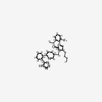 CCCCc1cn(-c2c(F)cccc2CC)c(=O)n1Cc1ccc(-c2ccccc2-c2nnn[nH]2)nc1